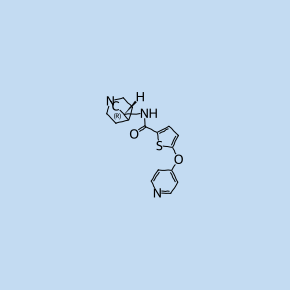 O=C(N[C@H]1CN2CCC1CC2)c1ccc(Oc2ccncc2)s1